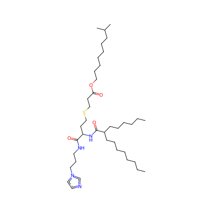 CCCCCCCCC(CCCCCC)C(=O)NC(CCSCCC(=O)OCCCCCCCC(C)C)C(=O)NCCCn1ccnc1